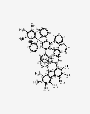 Bc1c(B)c(B)c(S(c2ccccc2)(c2ccccc2)c2cc(-c3c#cccc3)c(-n3c4c(c5cc(-c6c(B)c(B)c(B)c7c8c(B)c(B)c(B)c(B)c8n(-c8ccccc8)c67)ccc53)C=CCC4)c(-c3ccccc3)c2)c(B)c1B